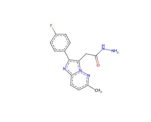 Cc1ccc2nc(-c3ccc(F)cc3)c(CC(=O)NN)n2n1